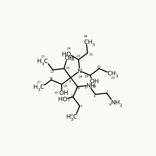 CCC(O)C(NCCN)C(C(O)CC)(C(O)CC)N(C(O)CC)C(O)CC